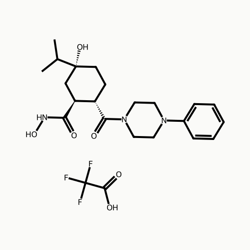 CC(C)[C@@]1(O)CC[C@H](C(=O)N2CCN(c3ccccc3)CC2)[C@@H](C(=O)NO)C1.O=C(O)C(F)(F)F